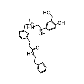 C[C@H](Cc1cccc(CCC(=O)NCCc2ccccc2)c1)NC[C@H](O)c1ccc(O)c(CO)c1